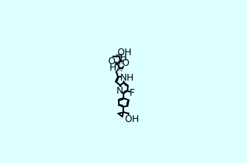 OCC1(c2ccc(-c3nc4cc(C[C@@H]5CO[C@H]6[C@@H]5OC[C@H]6O)[nH]c4cc3F)cc2)CC1